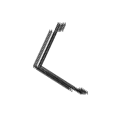 O.O.O.O.O.O.O.O.O.O.O.O.O.O.O.O.O.O.O.O.O.O.O.O.O.O.O.O.O.O.O.O.O.O.O.O.O.O.O.O.O.O.O.O.O.O.O.O.O.O.[NaH].[NaH].[NaH].[NaH].[NaH].[NaH].[NaH].[NaH].[NaH].[NaH]